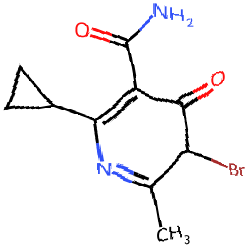 CC1=NC(C2CC2)=C(C(N)=O)C(=O)C1Br